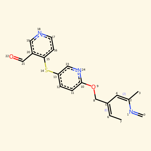 C=N/C(C)=C\C(=C/C)COc1ccc(Sc2ccncc2C=O)cn1